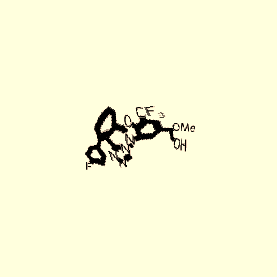 COC(CO)c1cc(C(F)(F)F)c2oc(-c3cccc(-c4ccc(F)cc4)c3-c3nncn3C)nc2c1